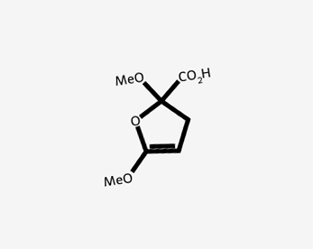 COC1=CCC(OC)(C(=O)O)O1